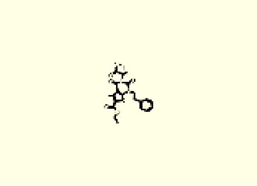 CCOC(=O)c1sc2c(c1C)c(=O)n(C(C)C(N)=O)c(=O)n2CCc1ccccc1